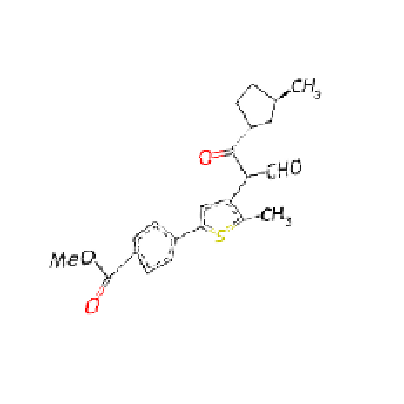 COC(=O)c1ccc(-c2cc(C(C=O)C(=O)[C@@H]3CC[C@@H](C)C3)c(C)s2)cc1